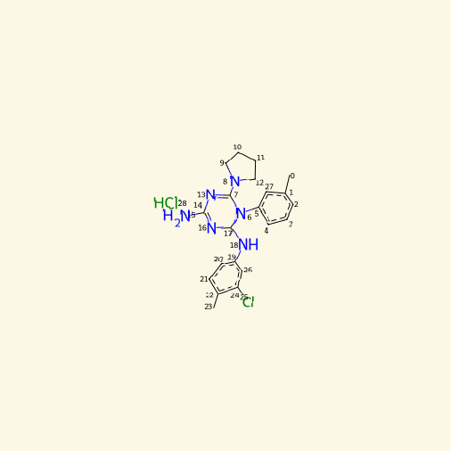 Cc1cccc(N2C(N3CCCC3)=NC(N)=NC2Nc2ccc(C)c(Cl)c2)c1.Cl